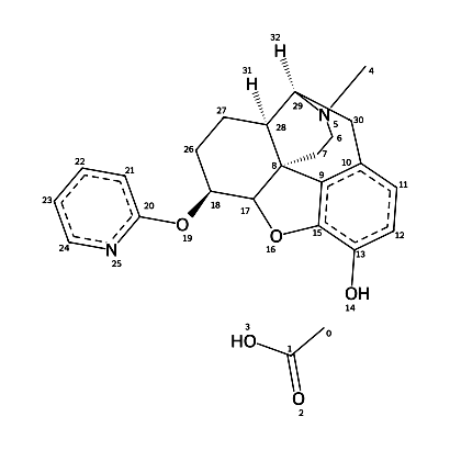 CC(=O)O.CN1CC[C@]23c4c5ccc(O)c4OC2[C@@H](Oc2ccccn2)CC[C@H]3[C@H]1C5